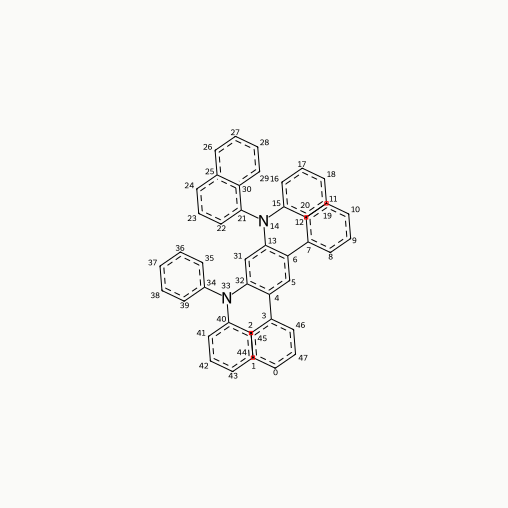 c1ccc(-c2cc(-c3ccccc3)c(N(c3ccccc3)c3cccc4ccccc34)cc2N(c2ccccc2)c2ccccc2)cc1